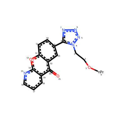 CCCOCCn1nnnc1-c1ccc2oc3ncccc3c(=O)c2c1